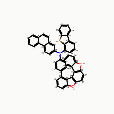 c1ccc2c(c1)ccc1cc(N(c3ccc(-c4cccc5oc6ccc7oc8ccccc8c7c6c45)cc3)c3cccc4c3sc3ccccc34)ccc12